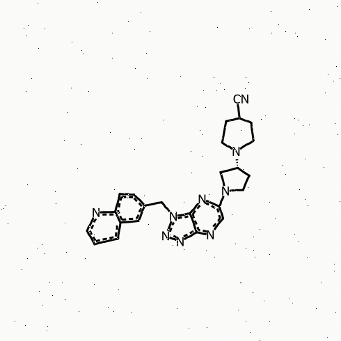 N#CC1CCN([C@@H]2CCN(c3cnc4nnn(Cc5ccc6ncccc6c5)c4n3)C2)CC1